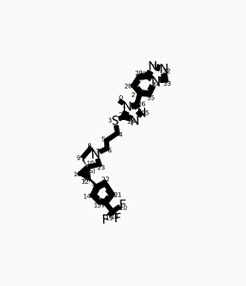 Cn1c(SCCCN2CC[C@]3(C[C@@H]3c3ccc(C(F)(F)F)cc3)C2)nnc1-c1ccc2nncn2c1